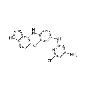 Nc1cc(Cl)nc(Nc2ccc(Nc3ccnc4[nH]ccc34)c(Cl)c2)n1